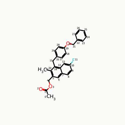 CC(=O)OCc1cc2ccc(F)cc2c(Cc2ccc(OCc3ccccc3)cc2)c1C